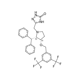 O=c1[nH]nc(CN2CC[C@H](OCc3cc(C(F)(F)F)cc(C(F)(F)F)c3)[C@@H]2C(c2ccccc2)c2ccccc2)[nH]1